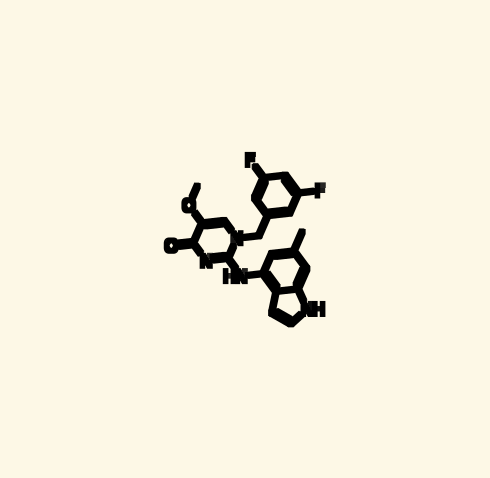 COc1cn(Cc2cc(F)cc(F)c2)c(Nc2cc(C)cc3[nH]ccc23)nc1=O